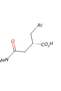 CNC(=O)C[C@H](CC(C)=O)C(=O)O